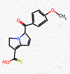 COc1ccc(C(=O)C2C=CC3=C(C(O)=S)CCN32)cc1